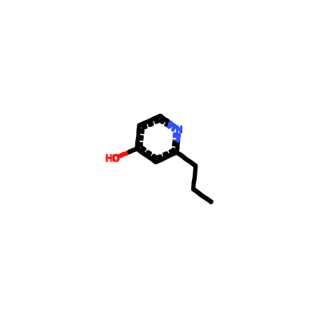 CCCc1cc(O)ccn1